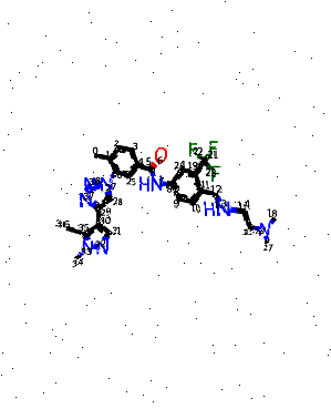 Cc1ccc(C(=O)Nc2ccc(CNCCN(C)C)c(C(F)(F)F)c2)cc1-n1cc(-c2cnn(C)c2C)nn1